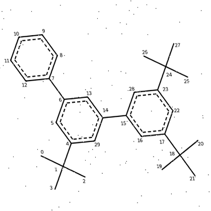 CC(C)(C)c1cc(-c2ccccc2)cc(-c2cc(C(C)(C)C)cc(C(C)(C)C)c2)c1